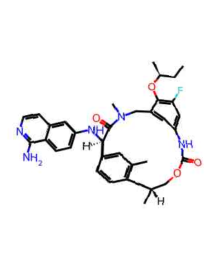 CC[C@H](C)Oc1c(F)cc2cc1CN(C)C(=O)[C@H](Nc1ccc3c(N)nccc3c1)c1ccc(c(C)c1)[C@@H](C)COC(=O)N2